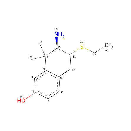 CC1(C)c2cc(O)ccc2C[C@@H](SCC(F)(F)F)[C@@H]1N